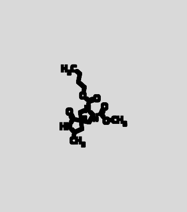 CCCCOC(=O)N1C[C@]2(CC(C)NC2=O)C[C@H]1C(=O)OC